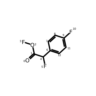 O=C(OF)C(F)c1ccc(F)cc1